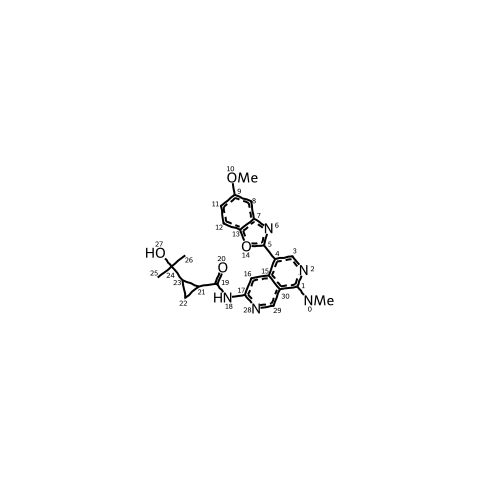 CNc1ncc(-c2nc3cc(OC)ccc3o2)c2cc(NC(=O)C3CC3C(C)(C)O)ncc12